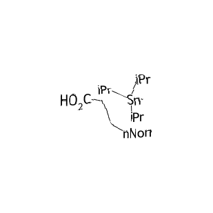 CCCCCCCCCCCC(=O)O.C[CH](C)[Sn]([CH](C)C)[CH](C)C